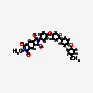 Cc1ccc(Oc2ccc(-c3ccc(Oc4ccc(N5C(=O)C6CC7C(=O)N(C)C(=O)C7CC6C5=O)cc4)cc3)cc2)cc1